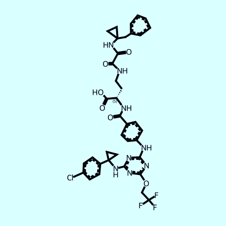 O=C(NCC[C@H](NC(=O)c1ccc(Nc2nc(NC3(c4ccc(Cl)cc4)CC3)nc(OCC(F)(F)F)n2)cc1)C(=O)O)C(=O)NC1(Cc2ccccc2)CC1